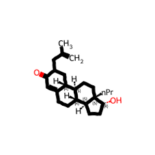 C=C(C)CC1C[C@H]2C(=CC1=O)CC[C@@H]1[C@@H]2CC[C@]2(CCC)[C@H](O)CC[C@@H]12